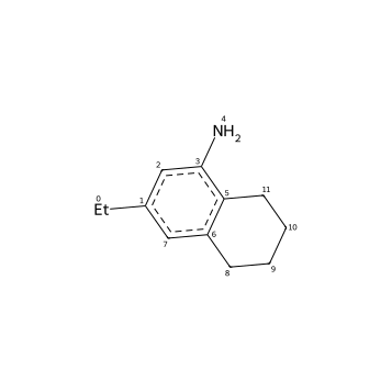 CCc1cc(N)c2c(c1)CCCC2